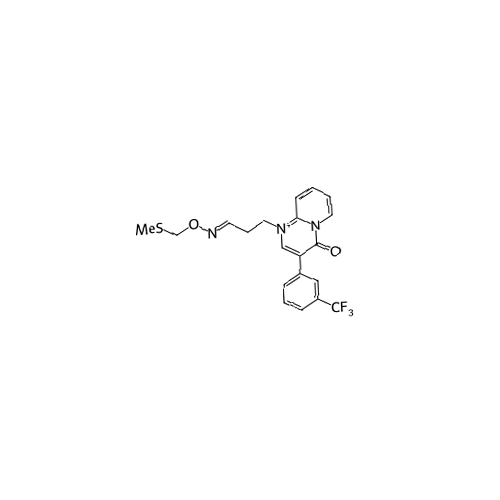 CSCON=CCC[n+]1cc(-c2cccc(C(F)(F)F)c2)c(=O)n2ccccc21